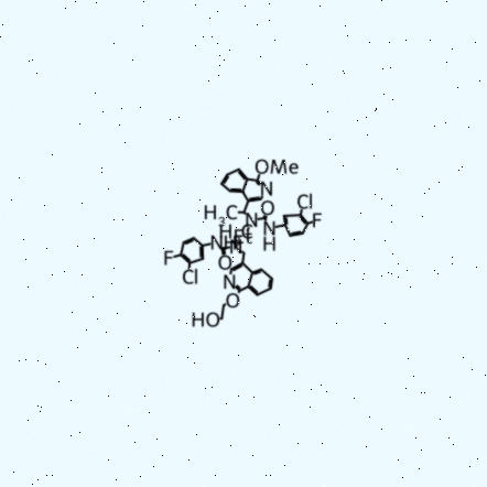 CCN(Cc1cnc(OCCO)c2ccccc12)C(=O)Nc1ccc(F)c(Cl)c1.COc1ncc(C(C)N(C)C(=O)Nc2ccc(F)c(Cl)c2)c2ccccc12